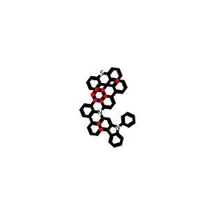 c1ccc(-c2cccc(-c3ccccc3)c2N(c2ccc3c4ccccc4n(-c4ccccc4)c3c2)c2ccc3c4c(cccc24)C2(c4ccccc4Sc4ccccc42)c2ccccc2-3)cc1